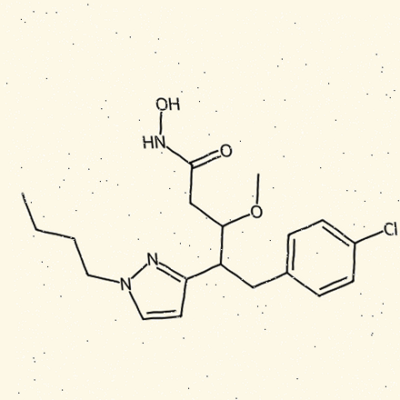 CCCCn1ccc(C(Cc2ccc(Cl)cc2)C(CC(=O)NO)OC)n1